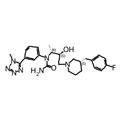 C[C@H]([C@@H](O)CN1CCC[C@@H](Cc2ccc(F)cc2)C1)N(C(N)=O)c1cccc(-c2nnnn2C)c1